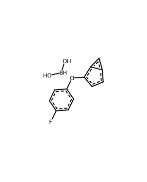 Fc1ccc(Oc2ccc3cc2-3)cc1.OBO